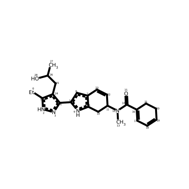 CCc1[nH]nc(-c2cc3c([nH]2)CC(N(C)C(=O)C2=CC=CCC2)C=C3)c1CC(C)O